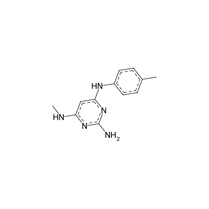 CNc1cc(Nc2ccc(C)cc2)nc(N)n1